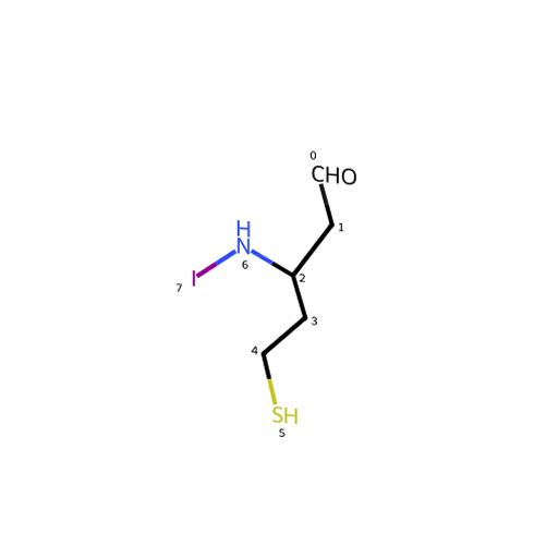 O=CCC(CCS)NI